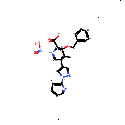 Cc1c(-c2cnn(-c3ccccn3)c2)cnc(C(=O)O)c1OCc1ccccc1.O=NO